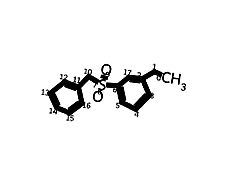 CCc1cccc(S(=O)(=O)Cc2ccccc2)c1